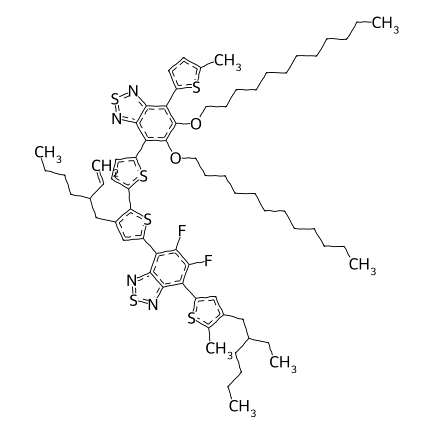 C=CC(CCCC)Cc1cc(-c2c(F)c(F)c(-c3cc(CC(CC)CCCC)c(C)s3)c3nsnc23)sc1-c1ccc(-c2c(OCCCCCCCCCCCC)c(OCCCCCCCCCCCC)c(-c3ccc(C)s3)c3nsnc23)s1